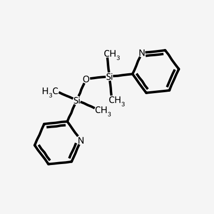 C[Si](C)(O[Si](C)(C)c1ccccn1)c1ccccn1